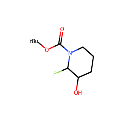 CC(C)(C)OC(=O)N1CCCC(O)C1F